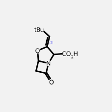 CC(C)(C)/C=C1\OC2CC(=O)N2C1C(=O)O